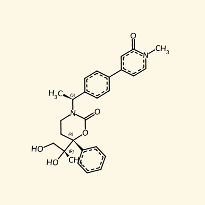 C[C@@H](c1ccc(-c2ccn(C)c(=O)c2)cc1)N1CC[C@@](c2ccccc2)([C@](C)(O)CO)OC1=O